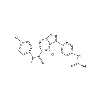 CN(C(=O)c1ccc2ncc(-c3ccc(NC(=O)O)cc3)n2c1Cl)c1ccc(Cl)cc1